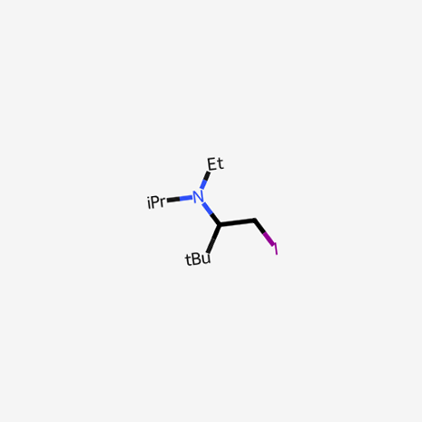 CCN(C(C)C)C(CI)C(C)(C)C